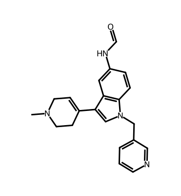 CN1CC=C(c2cn(Cc3cccnc3)c3ccc(NC=O)cc23)CC1